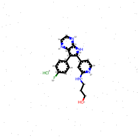 Cl.OCCCNc1cc(-c2[nH]c3nccnc3c2-c2ccc(F)cc2)ccn1